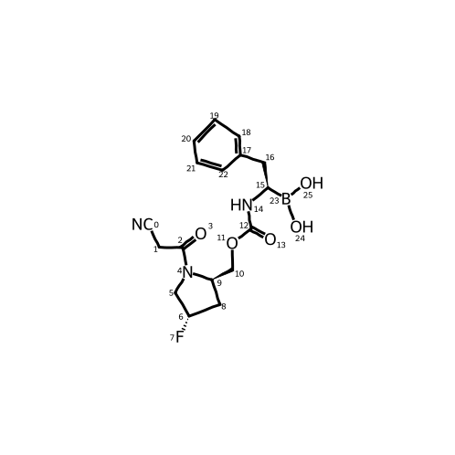 N#CCC(=O)N1C[C@@H](F)C[C@@H]1COC(=O)N[C@@H](Cc1ccccc1)B(O)O